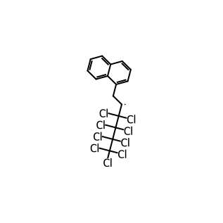 ClC(Cl)(Cl)C(Cl)(Cl)C(Cl)(Cl)C(Cl)(Cl)[CH]Cc1cccc2ccccc12